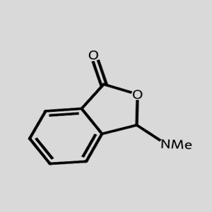 CNC1OC(=O)c2ccccc21